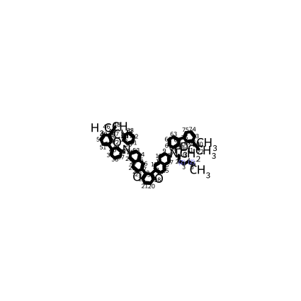 C=C(/C=C\C=C/C)N(c1ccc2cc3c(cc2c1)oc1ccc2oc4cc5cc(N(c6ccccc6)c6cccc7c6oc6c(C(C)(C)C)cccc67)ccc5cc4c2c13)c1cccc2c1oc1c(C(C)(C)C)cccc12